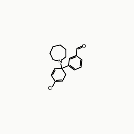 O=Cc1cccc(C2(N3CCCCCC3)C=CC(Cl)=CC2)c1